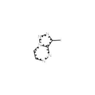 Ic1nnn2ccnnc12